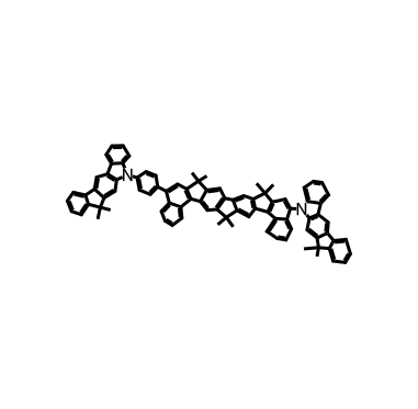 CC1(C)c2cc3c(cc2-c2cc4c(cc21)-c1c(cc(-n2c5ccccc5c5cc6c(cc52)C(C)(C)c2ccccc2-6)c2ccccc12)C4(C)C)C(C)(C)c1cc(-c2ccc(-n4c5ccccc5c5cc6c(cc54)C(C)(C)c4ccccc4-6)cc2)c2ccccc2c1-3